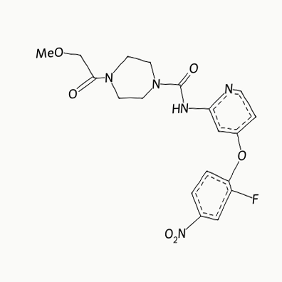 COCC(=O)N1CCN(C(=O)Nc2cc(Oc3ccc([N+](=O)[O-])cc3F)ccn2)CC1